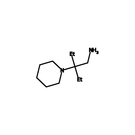 CCC(CC)(CN)N1CCCCC1